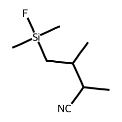 CC(C#N)C(C)C[Si](C)(C)F